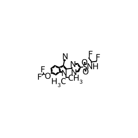 CC(C)n1c(-c2ncc(S(=O)(=O)NC(CF)CF)cn2)c(C#N)c2ccc(OC(F)F)cc21